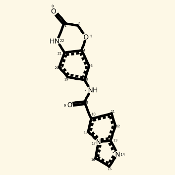 O=C1COc2cc(NC(=O)c3ccc4nccn4c3)ccc2N1